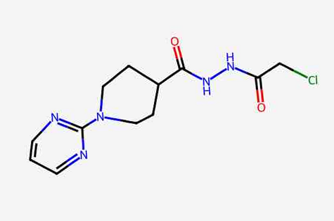 O=C(CCl)NNC(=O)C1CCN(c2ncccn2)CC1